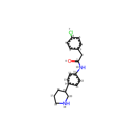 O=C(Cc1ccc(Cl)cc1)Nc1ccc(C2CCCNC2)cc1